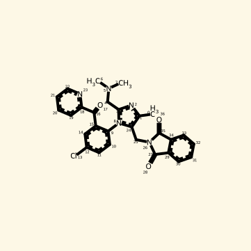 Cc1nc(CN(C)C)n(-c2ccc(Cl)cc2C(=O)c2ccccn2)c1CN1C(=O)c2ccccc2C1=O